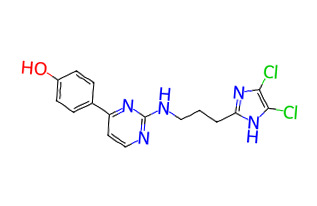 Oc1ccc(-c2ccnc(NCCCc3nc(Cl)c(Cl)[nH]3)n2)cc1